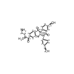 C#Cc1ccc(NC(=O)c2cc(C#C)ccc2NC(=O)c2ccc(C(=O)N(C)CCN)cc2F)cc1